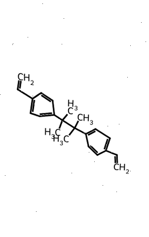 C=Cc1ccc(C(C)(C)C(C)(C)c2ccc(C=C)cc2)cc1